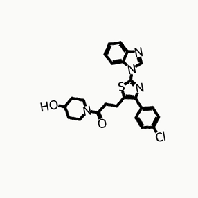 O=C(CCc1sc(-n2cnc3ccccc32)nc1-c1ccc(Cl)cc1)N1CCC(O)CC1